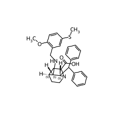 COc1ccc(SC)cc1CN[C@H]1[C@H]2CCN(C(C(=O)O)C2)[C@H]1C(c1ccccc1)c1ccccc1